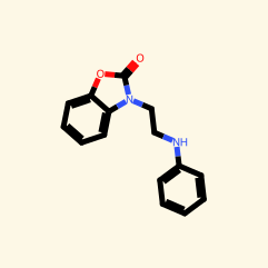 O=c1oc2ccccc2n1CCNc1ccccc1